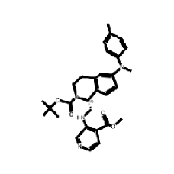 COC(=O)c1ccncc1NC[C@H]1c2ccc(N(C)c3ccc(C)cc3)cc2CCN1C(=O)OC(C)(C)C